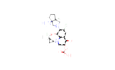 COc1c(N2C[C@]3(N)CCC[C@]3(F)C2)c(F)cc2c(=O)c(OC(=O)O)cn([C@@H]3C[C@@H]3F)c12